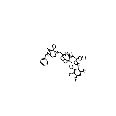 C[C@H]1C(=O)N(CC(=O)N[C@@H](CC(=O)O)C(=O)COc2c(F)c(F)cc(F)c2F)CCN1Cc1ccccc1